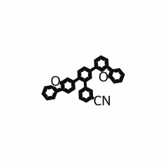 N#Cc1cccc(-c2cc(-c3cccc4c3oc3ccccc34)ccc2-c2ccc3c(c2)oc2ccccc23)c1